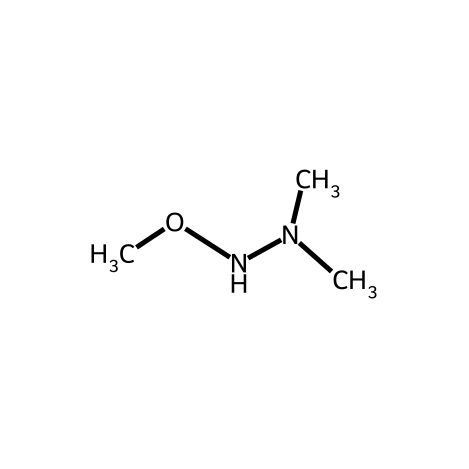 CONN(C)C